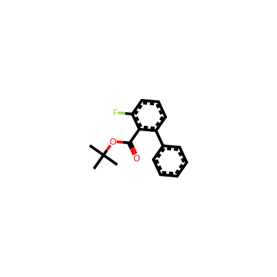 CC(C)(C)OC(=O)c1c(F)cccc1-c1ccccc1